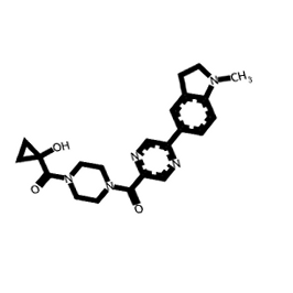 CN1CCc2cc(-c3cnc(C(=O)N4CCN(C(=O)C5(O)CC5)CC4)cn3)ccc21